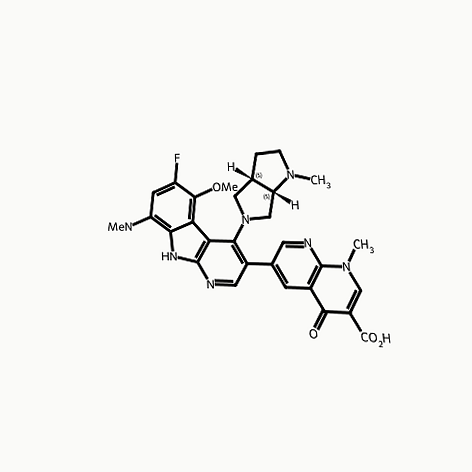 CNc1cc(F)c(OC)c2c1[nH]c1ncc(-c3cnc4c(c3)c(=O)c(C(=O)O)cn4C)c(N3C[C@@H]4CCN(C)[C@@H]4C3)c12